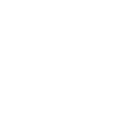 C=CC(=O)OC(C)(C)C.OCC1CO1